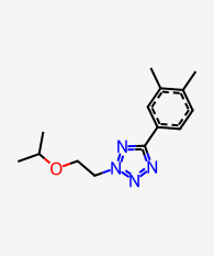 Cc1ccc(-c2nnn(CCOC(C)C)n2)cc1C